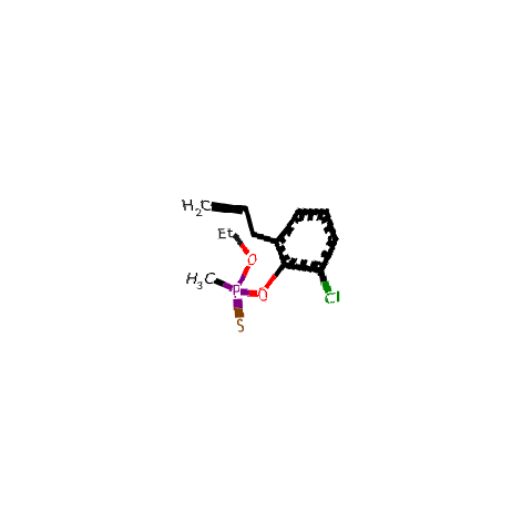 C=CCc1cccc(Cl)c1OP(C)(=S)OCC